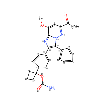 CCOc1cc(C(=O)NC)nn2c(-c3ccccc3)c(-c3ccc(C4(OC(N)=O)CCC4)cc3)nc12